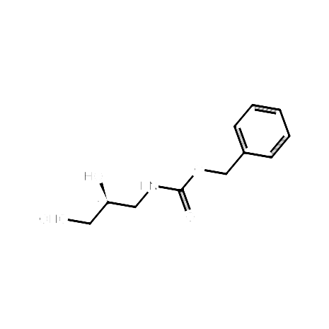 O=CC[C@@H](O)CNC(=O)OCc1ccccc1